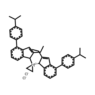 CCC1=Cc2c(-c3ccc(C(C)C)cc3)cccc2[CH]1[Hf+2]1([CH]2C(CC)=Cc3c(-c4ccc(C(C)C)cc4)cccc32)[CH2][CH2]1.[Cl-].[Cl-]